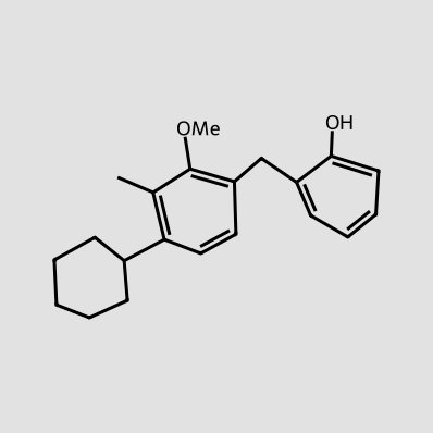 COc1c(Cc2ccccc2O)ccc(C2CCCCC2)c1C